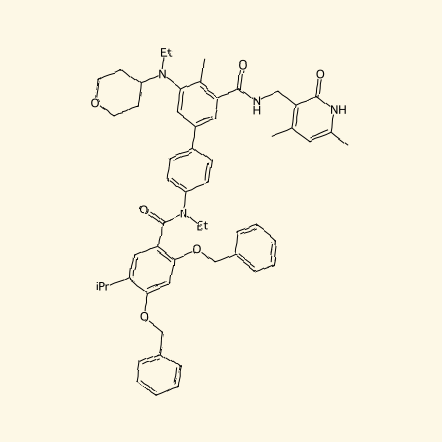 CCN(C(=O)c1cc(C(C)C)c(OCc2ccccc2)cc1OCc1ccccc1)c1ccc(-c2cc(C(=O)NCc3c(C)cc(C)[nH]c3=O)c(C)c(N(CC)C3CCOCC3)c2)cc1